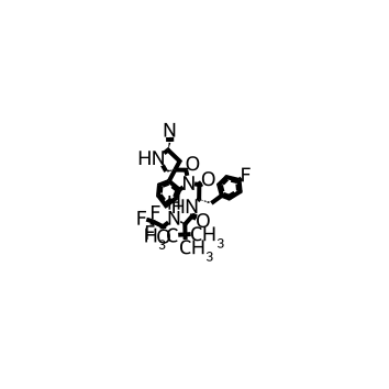 CC(C)(C)[C@H](NC(=O)C(F)(F)F)C(=O)N[C@@H](Cc1ccc(F)cc1)C(=O)N1C(=O)[C@@]2(CN[C@H](C#N)C2)c2ccccc21